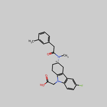 Cc1cccc(CC(=O)N(C)[C@H]2CCc3c(c4cc(F)ccc4n3CC(=O)O)C2)c1